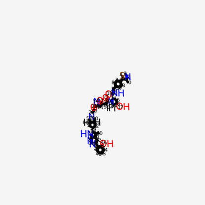 Cc1ncsc1-c1ccc(CNC(=O)[C@@H]2C[C@@H](O)CN2C(=O)[C@@H](c2cc(OCCN3C[C@H]4C[C@@H](c5[nH]c6nnc(-c7ccccc7O)cc6c5C)C[C@H]4C3)no2)C(C)C)cc1